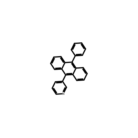 c1ccc(-c2c3ccccc3c(-c3cccnc3)c3ccccc23)cc1